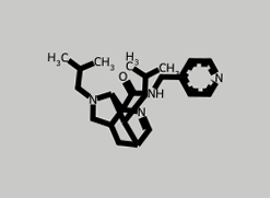 CC(C)CC1C2C=NC3(C(=O)NCc4ccncc4)C(C2)CN(CC(C)C)C13